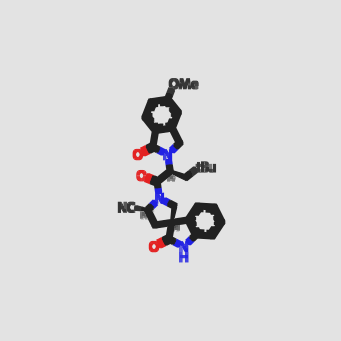 COc1ccc2c(c1)CN([C@@H](CC(C)(C)C)C(=O)N1C[C@]3(C[C@H]1C#N)C(=O)Nc1ccccc13)C2=O